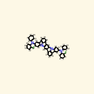 Fc1ccccc1N(c1ccccc1)c1ccc2c(c1)c1cccc3c4cc5c(cc4n2c13)c1cccc2c3cc(N(c4ccccc4)c4ccccc4F)ccc3n5c21